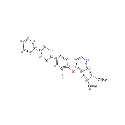 COc1cc2nccc(Oc3ccc(C4CCC(c5ccccc5)CC4)cc3F)c2cc1OC